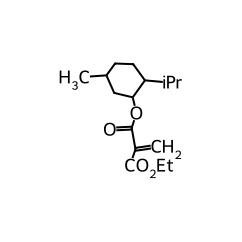 C=C(C(=O)OCC)C(=O)OC1CC(C)CCC1C(C)C